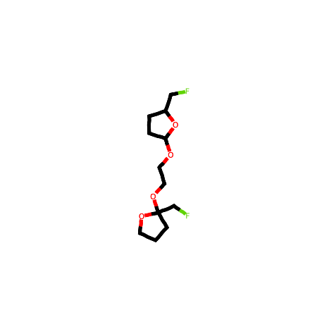 FCC1CCC(OCCOC2(CF)CCCO2)O1